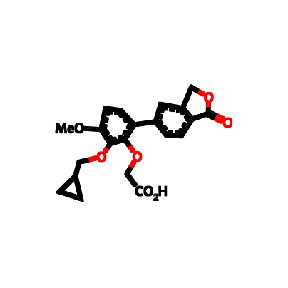 COc1ccc(-c2ccc3c(c2)COC3=O)c(OCC(=O)O)c1OCC1CC1